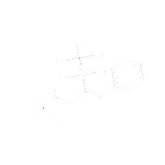 CC(C)(C)NCC(=Cc1ccccc1)[Si](C)(C)C(C)(C)C